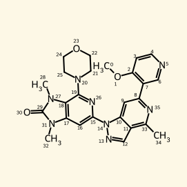 COc1ccncc1-c1cc2c(cnn2-c2cc3c(c(N4CCOCC4)n2)n(C)c(=O)n3C)c(C)n1